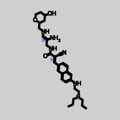 CCCN(CCC)CCNc1ccc2cc(/C=C(\C#N)C(=O)NC/C(N)=C/NCC3CC(O)CCO3)ccc2c1